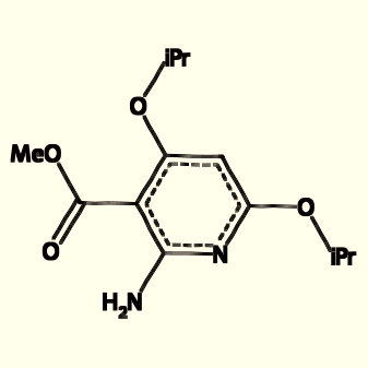 COC(=O)c1c(OC(C)C)cc(OC(C)C)nc1N